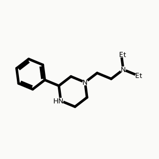 CCN(CC)CCN1CCNC(c2ccccc2)C1